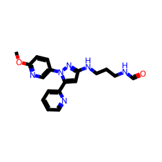 COc1ccc(-n2nc(NCCCNC=O)cc2-c2ccccn2)cn1